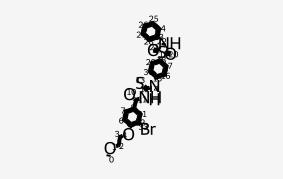 COCCOc1ccc(C(=O)NC(=S)Nc2ccc(S(=O)(=O)Nc3ccccc3)cc2)cc1Br